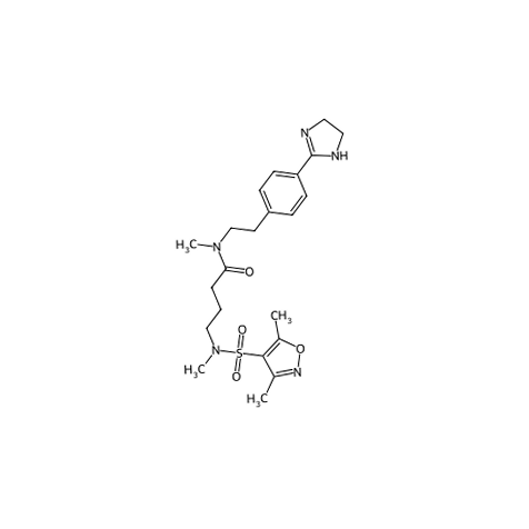 Cc1noc(C)c1S(=O)(=O)N(C)CCCC(=O)N(C)CCc1ccc(C2=NCCN2)cc1